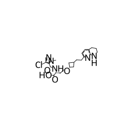 Cn1ncc(Cl)c1C(=O)N[C@@H](CCOC1CC(CCc2ccc3c(n2)NCCC3)C1)C(=O)O